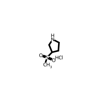 CS(=O)(=O)C1CCNC1.Cl